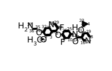 COc1cc2c(Oc3c(F)cc(NC(=O)c4cnccc4OC4CC4)cc3F)ccnc2cc1OCCN